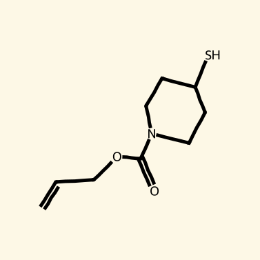 C=CCOC(=O)N1CCC(S)CC1